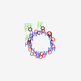 CC[C@H](C)[C@@H]1NC(=O)[C@H](C)N(C)C(=O)C[C@@H](C(=O)N(C)C)N(C)C(=O)[C@H](C2CCCC2)N(C)C(=O)C2(CCC2)NC(=O)[C@@H]2CC(F)(F)CN2C(=O)[C@H](CCc2cc(F)c(C(F)(F)F)c(F)c2)NC(=O)CN(C)C(=O)[C@H](Cc2ccc(C(F)(F)F)cc2)N2CC/C=C\C[C@@H](C2=O)N(C)C(=O)CN(C)C1=O